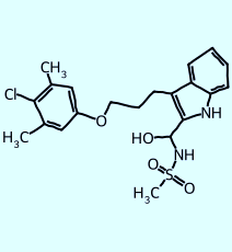 Cc1cc(OCCCc2c(C(O)NS(C)(=O)=O)[nH]c3ccccc23)cc(C)c1Cl